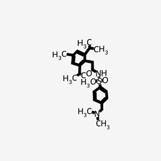 Cc1cc(C(C)C)c(CC(=O)NS(=O)(=O)c2ccc(CN(C)C)cc2)c(C(C)C)c1